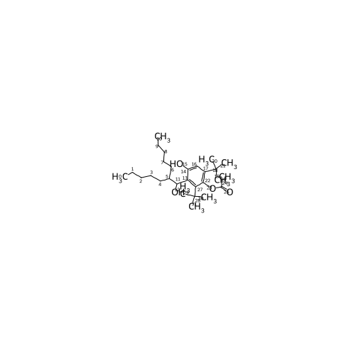 CCCCCC(CCCCC)C(O)c1c(O)cc(C(C)(C)C)c(OC(C)=O)c1C(C)(C)C